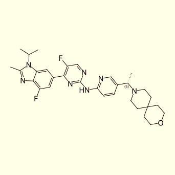 Cc1nc2c(F)cc(-c3nc(Nc4ccc([C@H](C)N5CCC6(CCOCC6)CC5)cn4)ncc3F)cc2n1C(C)C